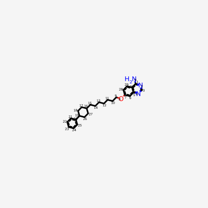 Nc1ncnc2cc(OCCCCCCCC3CCC(c4ccccc4)CC3)ccc12